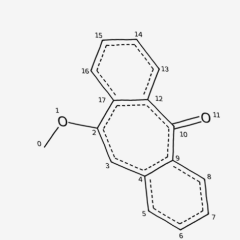 COc1cc2ccccc2c(=O)c2ccccc12